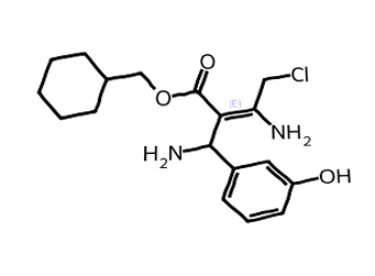 N/C(CCl)=C(/C(=O)OCC1CCCCC1)C(N)c1cccc(O)c1